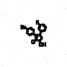 O=C1C(O)CC(c2cccc(F)c2)N1c1ccc(Br)cc1